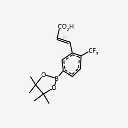 CC1(C)OB(c2ccc(C(F)(F)F)c(/C=C/C(=O)O)c2)OC1(C)C